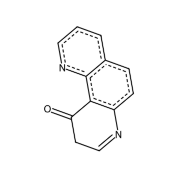 O=C1CC=Nc2ccc3cccnc3c21